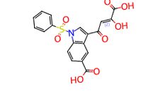 O=C(O)/C(O)=C/C(=O)c1cn(S(=O)(=O)c2ccccc2)c2ccc(C(=O)O)cc12